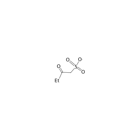 CCC(=O)CS([O])(=O)=O